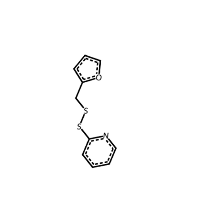 c1ccc(SSCc2ccco2)nc1